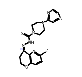 Fc1ccc2c(n1)/C(=N\NC(=S)N1CCN(c3cnccn3)CC1)CCO2